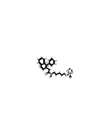 COP(=O)(OC)OCCCCCN(C)C(=O)Cc1ccc2ccccc2c1-c1ccccc1